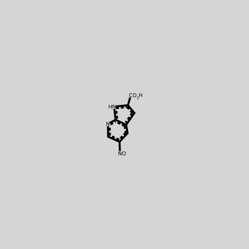 O=Nc1cnc2[nH]c(C(=O)O)cc2c1